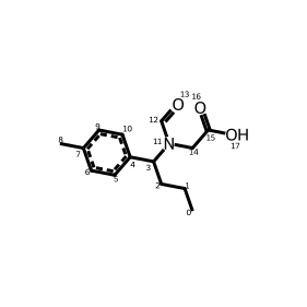 CCCC(c1ccc(C)cc1)N(C=O)CC(=O)O